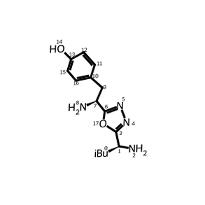 CCC(C)[C@H](N)c1nnc([C@@H](N)Cc2ccc(O)cc2)o1